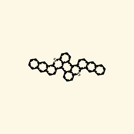 c1ccc2cc3c(ccc4c3sc3cccc5c3c4c3cccc4sc6c7cc8ccccc8cc7ccc6c5c43)cc2c1